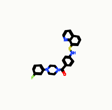 O=C(c1ccc(NSc2cccc3cccnc23)cc1)N1CCN(c2cccc(F)c2)CC1